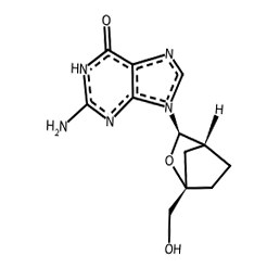 Nc1nc2c(ncn2[C@@H]2O[C@@]3(CO)CC[C@@H]2C3)c(=O)[nH]1